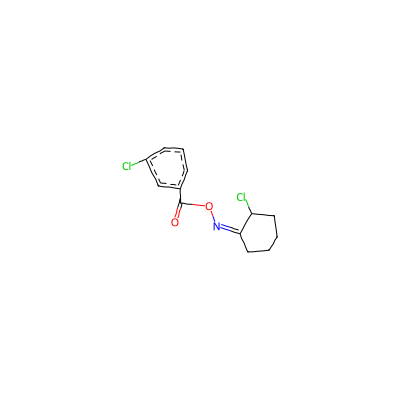 O=C(ON=C1CCCCC1Cl)c1cccc(Cl)c1